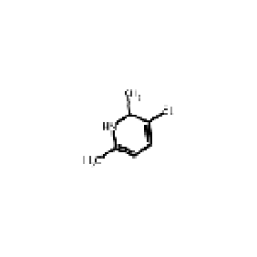 CCC1=CC=C(C)NC1C